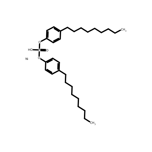 CCCCCCCCCc1ccc(OP(=O)(O)Oc2ccc(CCCCCCCCC)cc2)cc1.[Ni]